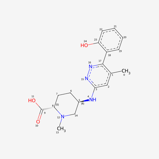 Cc1cc(N[C@@H]2CC[C@@H](C(=O)O)N(C)C2)nnc1-c1ccccc1O